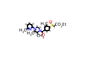 CCOC(=O)C[S+]([O-])c1ccc(C(=O)N2CCN(c3cccc(C)n3)[C@@H](C)[C@@H]2C)cc1C